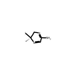 C[C@]1(I)CN=C(N)C=N1